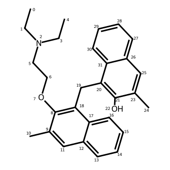 CCN(CC)CCOc1c(C)cc2ccccc2c1Cc1c(O)c(C)cc2ccccc12